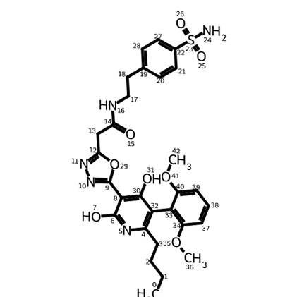 CCCCc1nc(O)c(-c2nnc(CC(=O)NCCc3ccc(S(N)(=O)=O)cc3)o2)c(O)c1-c1c(OC)cccc1OC